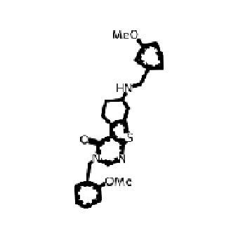 COc1cccc(CNC2CCc3c(sc4ncn(Cc5ccccc5OC)c(=O)c34)C2)c1